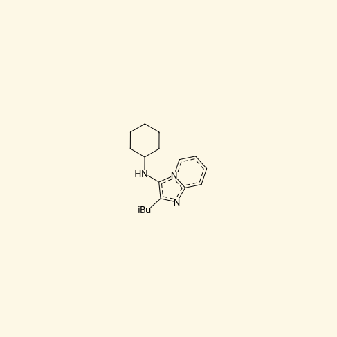 CCC(C)c1nc2ccccn2c1NC1CCCCC1